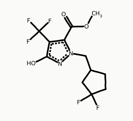 COC(=O)c1c(C(F)(F)F)c(O)nn1CC1CCC(F)(F)C1